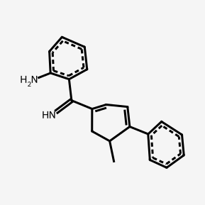 CC1CC(C(=N)c2ccccc2N)=CC=C1c1ccccc1